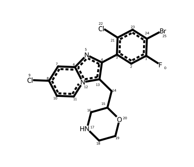 Fc1cc(-c2nc3cc(Cl)ccn3c2CC2CNCCO2)c(Cl)cc1Br